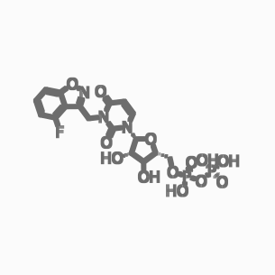 O=c1ccn([C@@H]2O[C@H](COP(=O)(O)OP(=O)(O)O)C(O)[C@@H]2O)c(=O)n1Cc1noc2cccc(F)c12